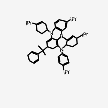 CC(C)C1=CCC(N2C3=CC(C(C)(C)C4=CCCC=C4)CC4=C3B(C3=CC(C(C)C)CCC3N4c3ccc(C(C)C)cc3)c3cc(C(C)C)ccc32)CC1